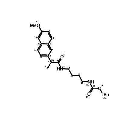 COc1ccc2cc([C@H](C)C(=O)NCCCCNC(=O)OC(C)(C)C)ccc2c1